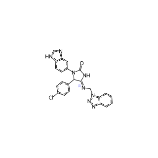 O=C1N/C(=N\Cn2nnc3ccccc32)C(c2ccc(Cl)cc2)N1c1ccc2[nH]cnc2c1